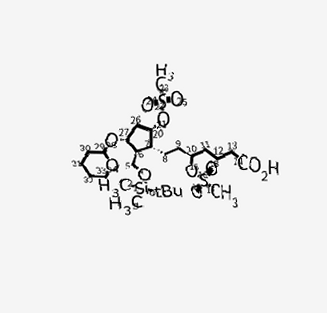 CC(C)(C)[Si](C)(C)OC[C@@H]1[C@@H](CC[C@@H](CCCC(=O)O)OS(C)(=O)=O)[C@@H](OS(C)(=O)=O)C[C@H]1OC1CCCCO1